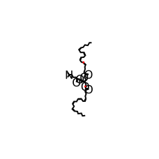 CCCCC/C=C\C/C=C\C/C=C\C/C=C\CCCC(=O)OCC(COC(=O)CCC/C=C\C/C=C\C/C=C\C/C=C\CCCCC)COC(=O)CCCN(C)C